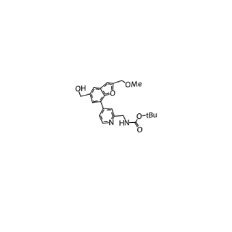 COCc1cc2cc(CO)cc(-c3ccnc(CNC(=O)OC(C)(C)C)c3)c2o1